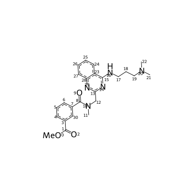 COC(=O)c1cccc(C(=O)N(C)Cc2nc(NCCCN(C)C)c3ccccc3n2)c1